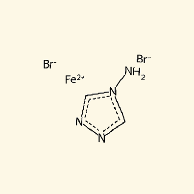 Nn1cnnc1.[Br-].[Br-].[Fe+2]